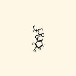 CCN(C)C(=O)Oc1cccc(C)c1